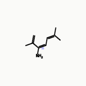 C=C(C)/C(N)=C\C=C(C)C